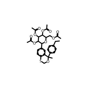 CCc1ccc(C2(C)OCSc3ccc(C4OC(COC(C)=O)C(OC(C)=O)C(OC(C)=O)C4OC(C)=O)cc32)cc1